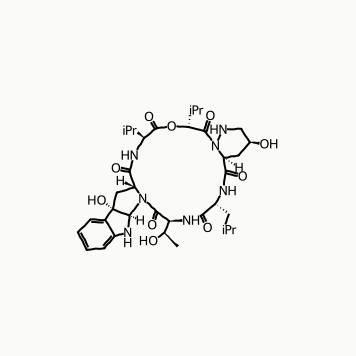 CC(C)C[C@H]1NC(=O)[C@@H]2C[C@H](O)CNN2C(=O)[C@@H](C(C)C)OC(=O)[C@H](C(C)C)NC(=O)[C@H]2C[C@]3(O)c4ccccc4N[C@@H]3N2C(=O)[C@H]([C@@H](C)O)NC1=O